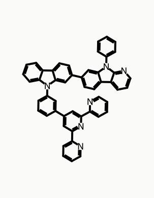 c1ccc(-n2c3cc(-c4ccc5c6ccccc6n(-c6cccc(-c7cc(-c8ccccn8)nc(-c8ccccn8)c7)c6)c5c4)ccc3c3cccnc32)cc1